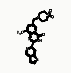 Cc1cc(CN2CCS(=O)(=O)CC2)cc2c(=O)[nH]c(-c3cc4sccc4cn3)nc12